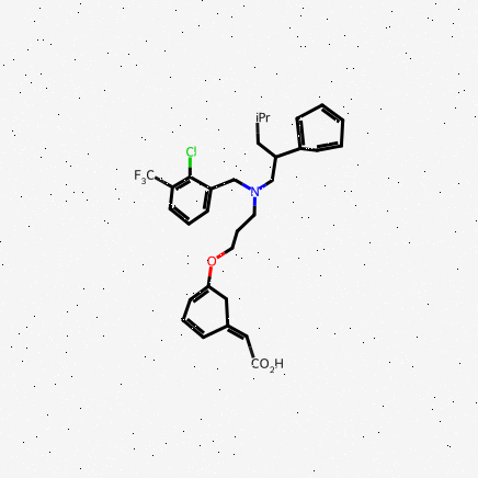 CC(C)CC(CN(CCCOC1=CC=CC(=CC(=O)O)C1)Cc1cccc(C(F)(F)F)c1Cl)c1ccccc1